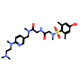 Cc1cc(O)cc(C)c1S(=O)(=O)N(C)CC(=O)NCC(=O)N(C)Cc1ccc(N(C)CCN(C)C)nc1